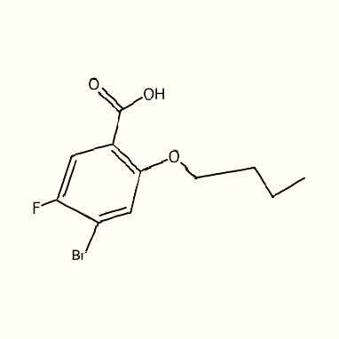 CCCCOc1cc(Br)c(F)cc1C(=O)O